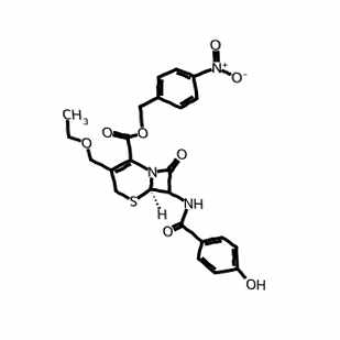 CCOCC1=C(C(=O)OCc2ccc([N+](=O)[O-])cc2)N2C(=O)C(NC(=O)c3ccc(O)cc3)[C@H]2SC1